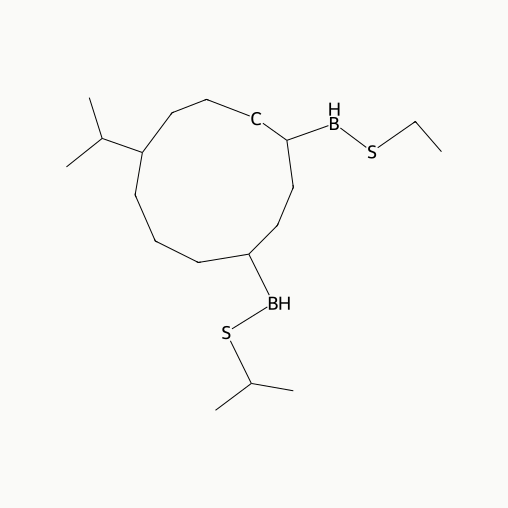 CCSBC1CCCC(C(C)C)CCCC(BSC(C)C)CC1